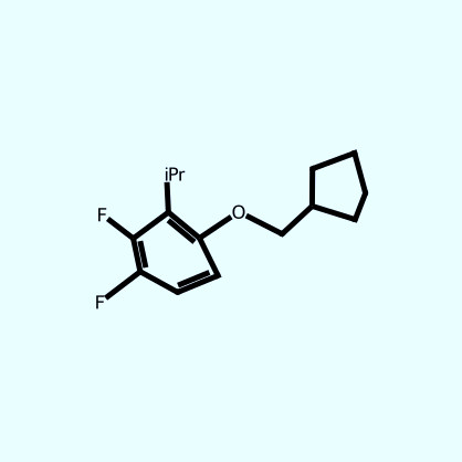 CC(C)c1c(OCC2CCCC2)ccc(F)c1F